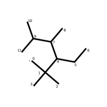 [CH2]C(C)(C)C(CC)C(C)C(C)C